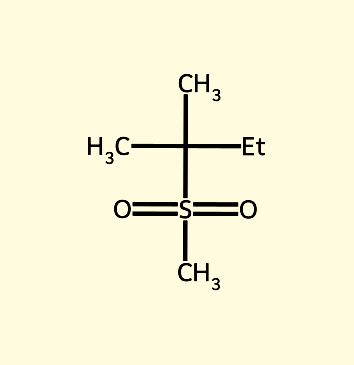 CCC(C)(C)S(C)(=O)=O